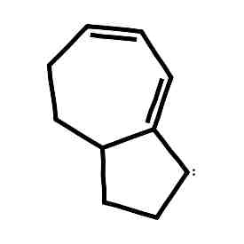 [C]1CCC2CCC=CC=C12